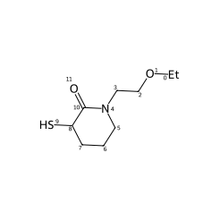 CCOCCN1CCCC(S)C1=O